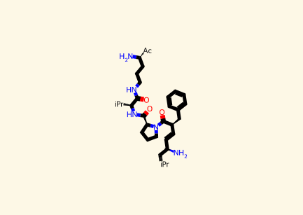 CC(=O)[C@@H](N)CCCNC(=O)[C@@H](NC(=O)[C@@H]1CCCN1C(=O)[C@H](/C=C/[C@@H](N)CC(C)C)Cc1ccccc1)C(C)C